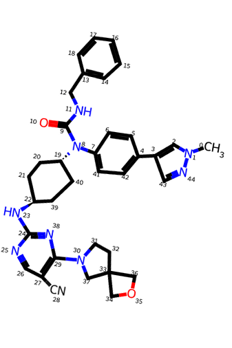 Cn1cc(-c2ccc(N(C(=O)NCc3ccccc3)[C@H]3CC[C@H](Nc4ncc(C#N)c(N5CCC6(COC6)C5)n4)CC3)cc2)cn1